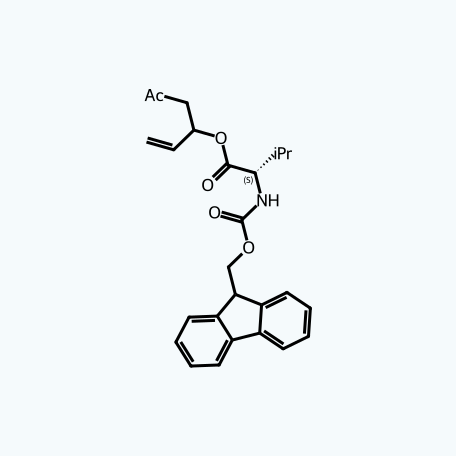 C=CC(CC(C)=O)OC(=O)[C@@H](NC(=O)OCC1c2ccccc2-c2ccccc21)C(C)C